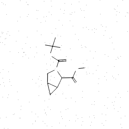 COC(=O)C1[C@H]2C[C@H]2CN1C(=O)OC(C)(C)C